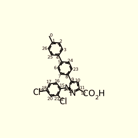 Cc1ccc(-c2ccc(-c3cc(C(=O)O)nn3-c3ccc(Cl)cc3Cl)cc2)cc1